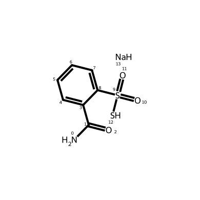 NC(=O)c1ccccc1S(=O)(=O)S.[NaH]